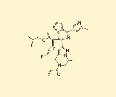 C=CC(=O)N1Cc2cc(-c3nc(-c4cnn(C)c4)c4ccsc4c3/C(C(=C)OC[C@H](C)F)=C(F)/C=C/F)nn2[C@@H](C)C1